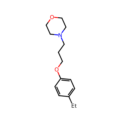 CCc1ccc(OCCCN2CCOCC2)cc1